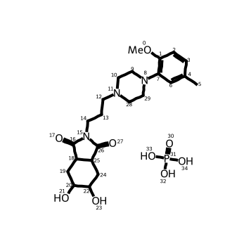 COc1ccc(C)cc1N1CCN(CCCN2C(=O)C3CC(O)C(O)CC3C2=O)CC1.O=P(O)(O)O